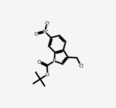 CC(C)(C)OC(=O)n1cc(CCl)c2ccc([N+](=O)[O-])cc21